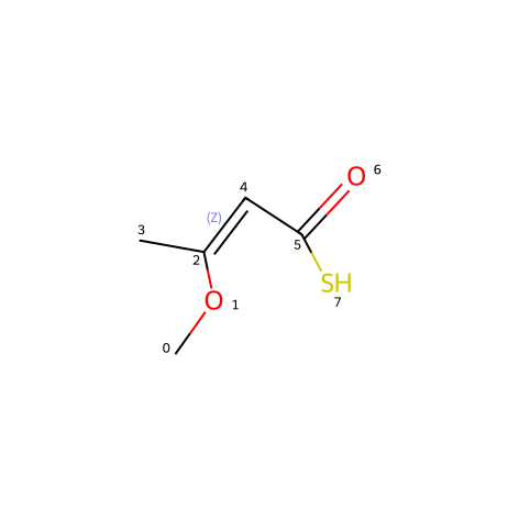 CO/C(C)=C\C(=O)S